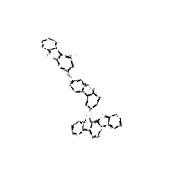 c1ccc2c(c1)oc1cc(-c3ccc4c(c3)oc3ccc(-n5c6ccccc6c6ccc7c8ccccc8sc7c65)cc34)ccc12